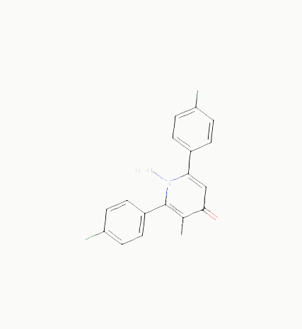 CCCCn1c(-c2ccc(Cl)cc2)cc(=O)c(C(=O)O)c1-c1ccc(Cl)cc1